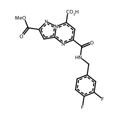 COC(=O)c1cc2nc(C(=O)NCc3ccc(F)c(F)c3)cc(C(=O)O)n2n1